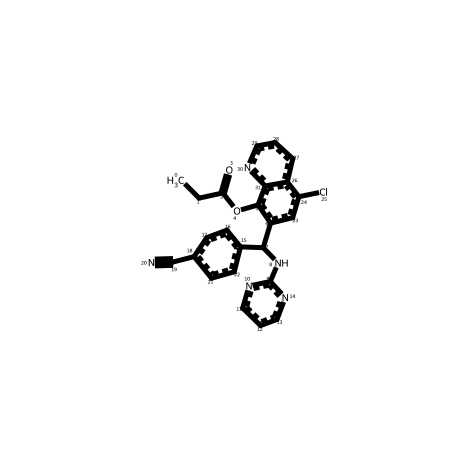 CCC(=O)Oc1c(C(Nc2ncccn2)c2ccc(C#N)cc2)cc(Cl)c2cccnc12